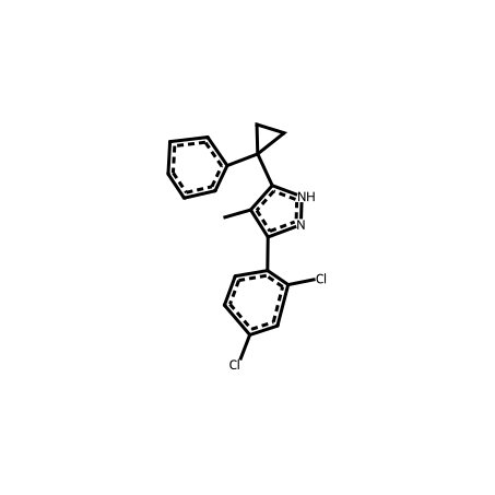 Cc1c(-c2ccc(Cl)cc2Cl)n[nH]c1C1(c2ccccc2)CC1